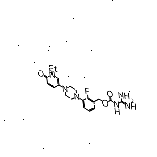 CCn1cc(N2CCN(c3cccc(COC(=O)NC(=N)N)c3F)CC2)ccc1=O